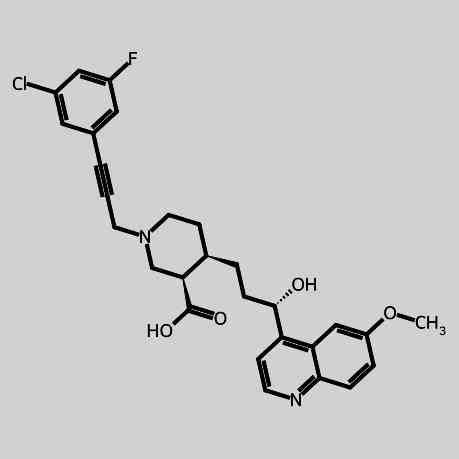 COc1ccc2nccc([C@@H](O)CC[C@@H]3CCN(CC#Cc4cc(F)cc(Cl)c4)C[C@@H]3C(=O)O)c2c1